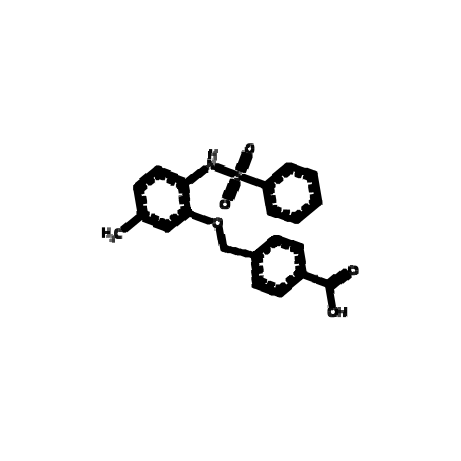 Cc1ccc(NS(=O)(=O)c2ccccc2)c(OCc2ccc(C(=O)O)cc2)c1